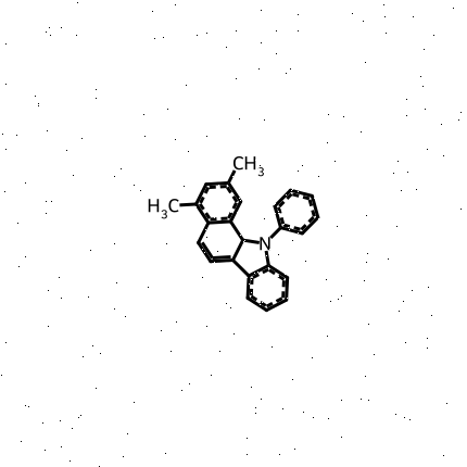 Cc1cc(C)c2c(c1)C1C(=C=C2)c2ccccc2N1c1ccccc1